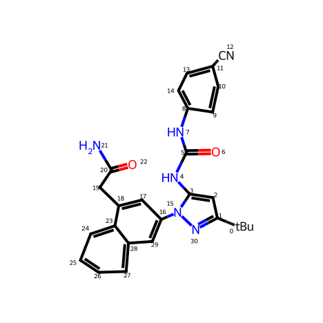 CC(C)(C)c1cc(NC(=O)Nc2ccc(C#N)cc2)n(-c2cc(CC(N)=O)c3ccccc3c2)n1